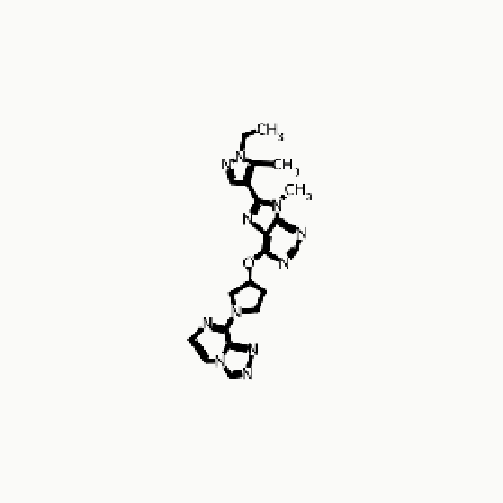 CCn1ncc(-c2nc3c(O[C@H]4CCN(c5nccn6cnnc56)C4)ncnc3n2C)c1C